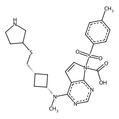 Cc1ccc(S(=O)(=O)[N+]2(C(=O)O)C=Cc3c(N(C)[C@H]4C[C@@H](CSC5CCNC5)C4)ncnc32)cc1